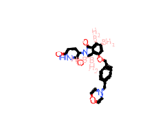 Bc1cc(OCc2ccc(CN3CCOCC3)cc2)c2c(c1B)C(=O)N(C1CCC(=O)NC1=O)C2(B)B